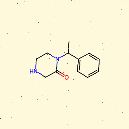 CC(c1ccccc1)N1CCNCC1=O